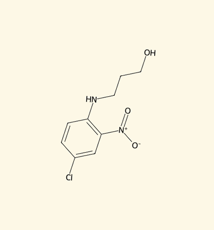 O=[N+]([O-])c1cc(Cl)ccc1NCCCO